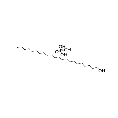 CCCCCCCCCCCCCCCCCCCCCCO.O=P(O)(O)O